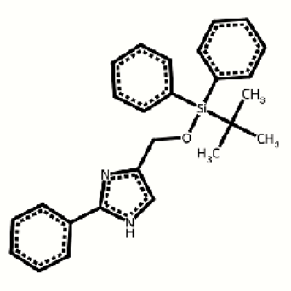 CC(C)(C)[Si](OCc1c[nH]c(-c2ccccc2)n1)(c1ccccc1)c1ccccc1